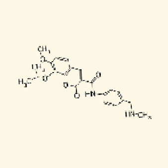 CNCc1ccc(NC(=O)c2cc3ccc(OC)c(OC(C)C)c3oc2=O)cc1